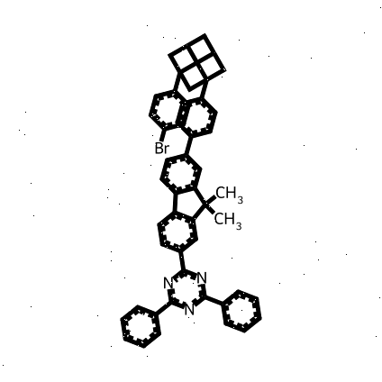 CC1(C)c2cc(-c3ccc(C45CC6CC7CC(c8ccc(Br)cc8)(C4)C765)cc3)ccc2-c2ccc(-c3nc(-c4ccccc4)nc(-c4ccccc4)n3)cc21